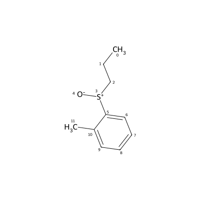 CCC[S+]([O-])c1ccccc1C